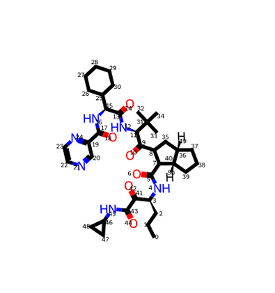 CCC[C@H](NC(=O)C1C(C(=O)[C@@H](NC(=O)[C@@H](NC(=O)c2cnccn2)C2CCCCC2)C(C)(C)C)C[C@@H]2CCC[C@H]12)C(=O)C(=O)NC1CC1